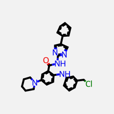 O=C(Nc1ncc(-c2ccccc2)cn1)c1cc(N2CCCCC2)ccc1Nc1cccc(CCl)c1